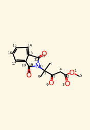 COC(=O)CC(=O)C(C)(C)N1C(=O)c2ccccc2C1=O